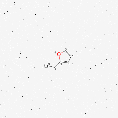 [Li][CH2]c1ccco1